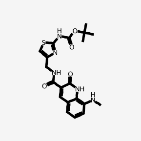 CNc1cccc2cc(C(=O)NCc3csc(NC(=O)OC(C)(C)C)n3)c(=O)[nH]c12